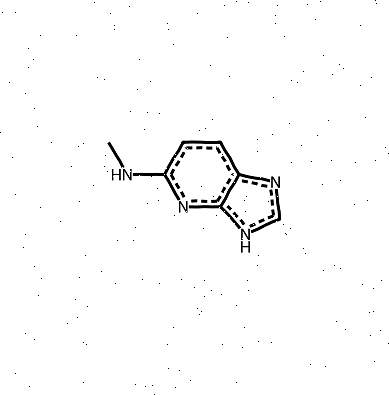 CNc1ccc2nc[nH]c2n1